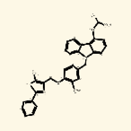 CCC[C@H](Oc1cccc2c1c1ccccc1n2Cc1ccc(OCc2nc(-c3ccccc3)oc2C)c(OC)c1)C(=O)O